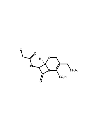 CC(=O)NCC1=C(C(=O)O)N2C(=O)C(NC(=O)CCl)[C@H]2SC1